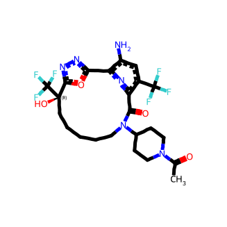 CC(=O)N1CCC(N2CCCCC[C@](O)(C(F)(F)F)c3nnc(o3)-c3nc(c(C(F)(F)F)cc3N)C2=O)CC1